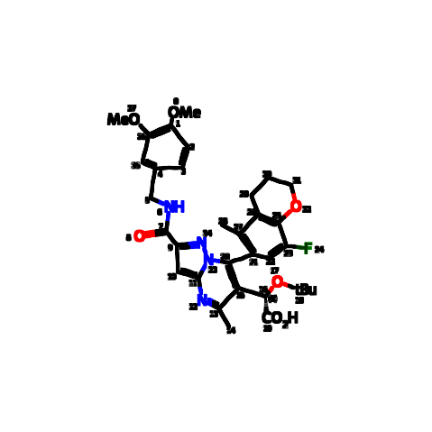 COc1ccc(CNC(=O)c2cc3nc(C)c([C@H](OC(C)(C)C)C(=O)O)c(-c4cc(F)c5c(c4C)CCCO5)n3n2)cc1OC